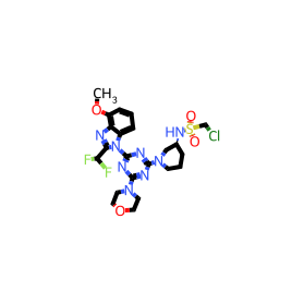 COc1cccc2c1nc(C(F)F)n2-c1nc(N2CCOCC2)nc(N2CCC[C@@H](NS(=O)(=O)CCl)C2)n1